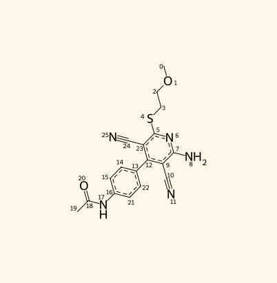 COCCSc1nc(N)c(C#N)c(-c2ccc(NC(C)=O)cc2)c1C#N